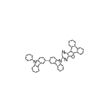 c1ccc(-n2c3ccccc3c3cc(-c4ccc5c(c4)c4ccccc4n5-c4cnc5c(n4)oc4c6ccccc6c6ccccc6c54)ccc32)cc1